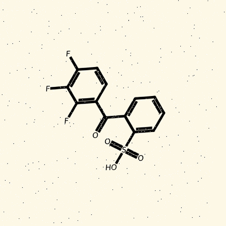 O=C(c1ccccc1S(=O)(=O)O)c1ccc(F)c(F)c1F